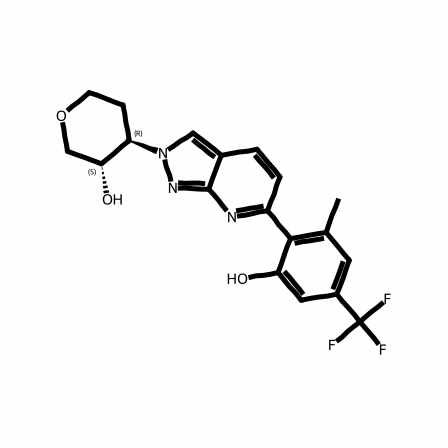 Cc1cc(C(F)(F)F)cc(O)c1-c1ccc2cn([C@@H]3CCOC[C@H]3O)nc2n1